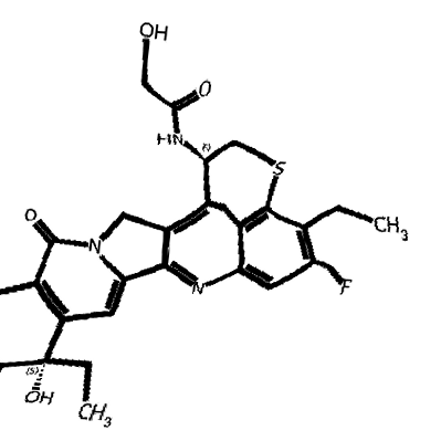 CCc1c(F)cc2nc3c(c4c2c1SC[C@@H]4NC(=O)CO)Cn1c-3cc2c(c1=O)COC(=O)[C@]2(O)CC